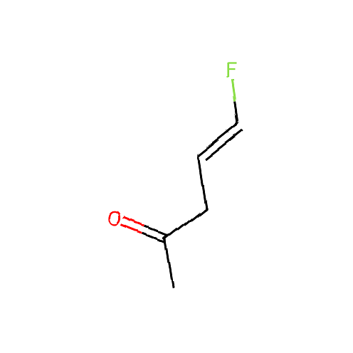 CC(=O)CC=CF